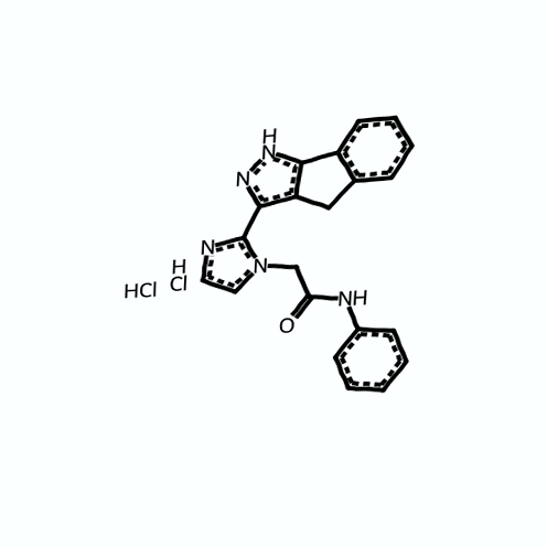 Cl.Cl.O=C(Cn1ccnc1-c1n[nH]c2c1Cc1ccccc1-2)Nc1ccccc1